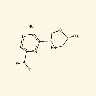 C[C@@H]1CNC(c2cccc(C(F)F)n2)CO1.Cl